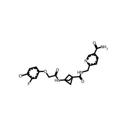 NC(=O)c1ccc(CNC(=O)C23CC(NC(=O)COc4ccc(Cl)c(F)c4)(C2)C3)nc1